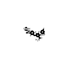 NC(=O)c1cc(Cc2cccc(NS(=O)(=O)C3COCN3)c2F)c(F)c(F)c1Nc1ccc(I)cc1F